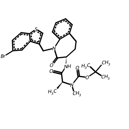 C[C@@H](C(=O)N[C@H]1CCc2ccccc2N(Cc2csc3ccc(Br)cc23)C1=O)N(C)C(=O)OC(C)(C)C